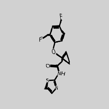 O=C(Nc1nccs1)C1(Oc2ccc(F)cc2F)CC1